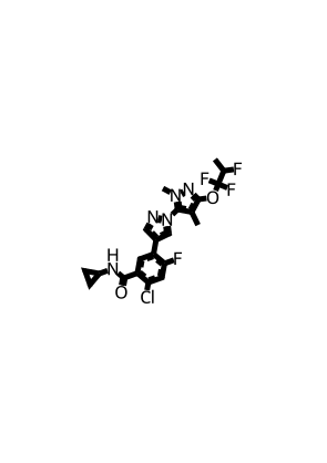 Cc1c(OC(F)(F)C(C)F)nn(C)c1-n1cc(-c2cc(C(=O)NC3CC3)c(Cl)cc2F)cn1